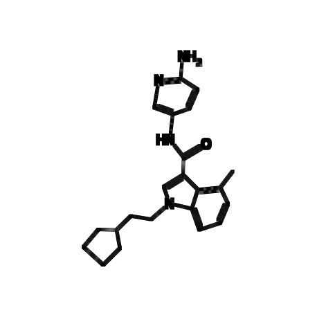 Cc1cccc2c1c(C(=O)Nc1ccc(N)nc1)cn2CCC1CCCC1